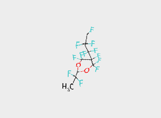 CC(F)(F)C1OC(F)(F)C(F)(C(F)(F)C(F)(F)CF)C(F)(F)O1